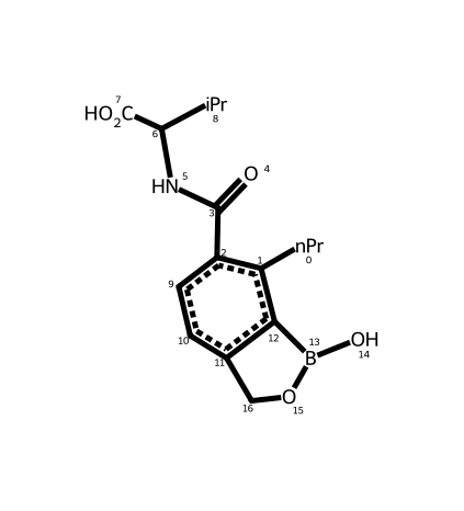 CCCc1c(C(=O)NC(C(=O)O)C(C)C)ccc2c1B(O)OC2